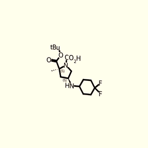 CC(C)(C)OC(=O)[C@]1(C)C[C@H](NC2CCC(F)(F)CC2)CN1C(=O)O